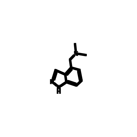 CN(C)Cc1cccc2[nH]ncc12